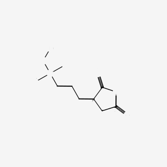 CCO[Si](C)(C)CCCC1CC(=O)OC1=O